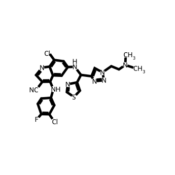 CN(C)CCn1cc(C(Nc2cc(Cl)c3ncc(C#N)c(Nc4ccc(F)c(Cl)c4)c3c2)c2cscn2)nn1